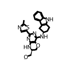 COC[C@@H]1COc2c(nc(-c3cnc(C)s3)nc2N[C@@H]2CCc3[nH]c4ccccc4c3C2)N1